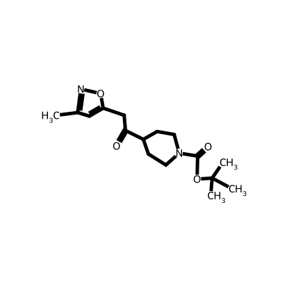 Cc1cc(CC(=O)C2CCN(C(=O)OC(C)(C)C)CC2)on1